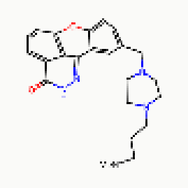 CNCCCN1CCN(Cc2ccc3c(c2)-c2n[nH]c(=O)c4cccc(c24)O3)CC1